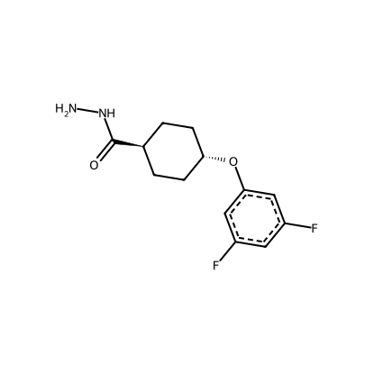 NNC(=O)[C@H]1CC[C@H](Oc2cc(F)cc(F)c2)CC1